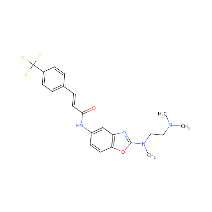 CN(C)CCN(C)c1nc2cc(NC(=O)/C=C/c3ccc(C(F)(F)F)cc3)ccc2o1